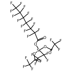 O=C(O[Si](OC(=O)C(F)(F)F)(OC(=O)C(F)(F)C(F)(F)C(F)(F)C(F)(F)C(F)(F)C(F)(F)F)C(F)(F)C(F)(F)F)C(F)(F)F